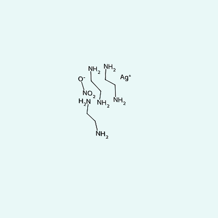 NCCN.NCCN.NCCN.O=[N+]([O-])[O-].[Ag+]